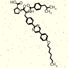 CCCCCCCOc1ccc(-c2cnc(-c3ccc(C[C@H](NC(=O)c4ccc(CC(C)C)cc4)C(=O)N4CCC[C@H]4C(=O)O)cc3)nc2)cc1